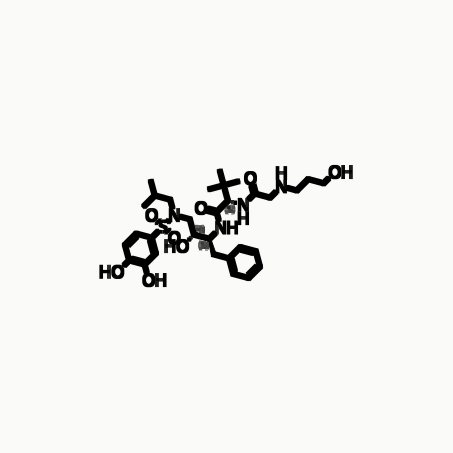 CC(C)CN(C[C@@H](O)[C@H](Cc1ccccc1)NC(=O)[C@@H](NC(=O)CNCCCO)C(C)(C)C)S(=O)(=O)c1ccc(O)c(O)c1